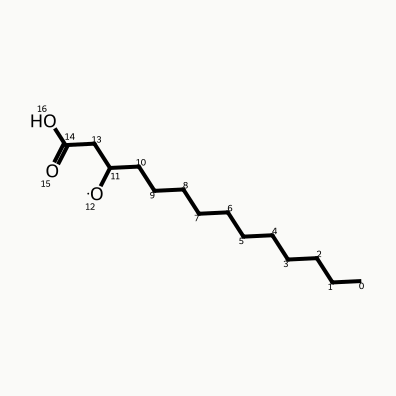 CCCCCCCCCCCC([O])CC(=O)O